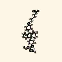 C=C(C)Oc1ccc(-c2c3ccccc3c(-c3ccc(OCCCCOC(=O)CC)cc3)c3ccccc23)cc1